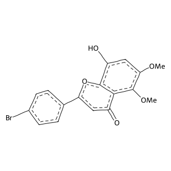 COc1cc(O)c2oc(-c3ccc(Br)cc3)cc(=O)c2c1OC